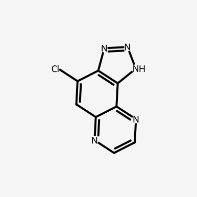 Clc1cc2nccnc2c2[nH]nnc12